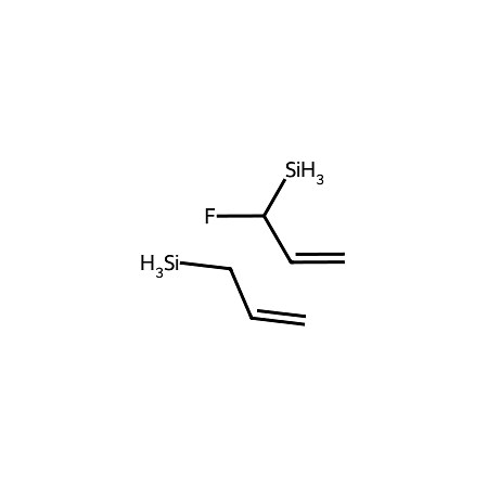 C=CC(F)[SiH3].C=CC[SiH3]